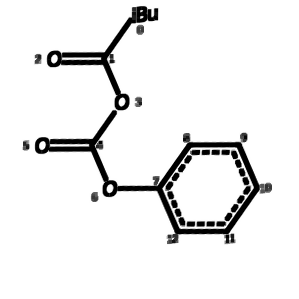 CCC(C)C(=O)OC(=O)Oc1ccccc1